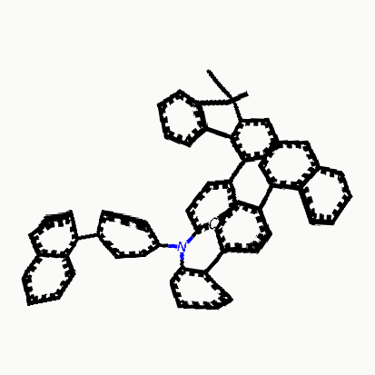 CC1(C)c2ccccc2-c2c(-c3ccc(N(c4ccc(-c5cccc6ccccc56)cc4)c4ccccc4-c4ccc(-c5cccc6ccccc56)cc4)cc3)cccc21